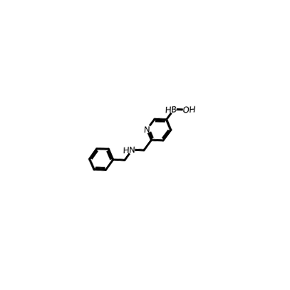 OBc1ccc(CNCc2ccccc2)nc1